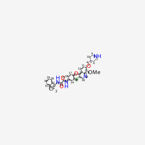 COc1c(OCC2CCNCC2)ccc2c(Oc3ccc(NC(=O)C(=O)NCc4ccccc4C(F)(F)F)cc3F)ccnc12